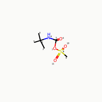 CC(C)(C)NC(=O)OS(C)(=O)=O